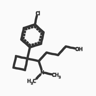 CN(C)C(CCCO)C1(c2ccc(Cl)cc2)CCC1